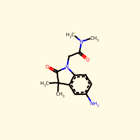 CN(C)C(=O)CN1C(=O)C(C)(C)c2cc(N)ccc21